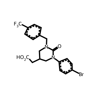 O=C(O)CC1CN(Cc2ccc(C(F)(F)F)cc2)C(=O)N(c2ccc(Br)cc2)C1